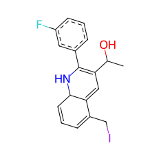 CC(O)C1=C(c2cccc(F)c2)NC2C=CC=C(CI)C2=C1